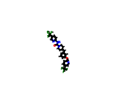 O=C(Nc1ccc(C(F)(F)F)cn1)N1CCC(Cc2cccc(Oc3ccc(C(F)(F)F)cn3)c2)CC1